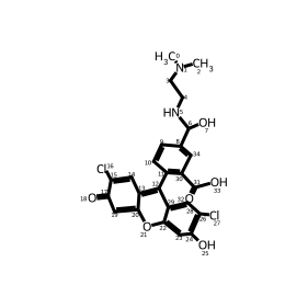 CN(C)CCNC(O)c1ccc(-c2c3cc(Cl)c(=O)cc-3oc3cc(O)c(Cl)cc23)c(C(=O)O)c1